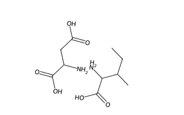 CCC(C)C(N)C(=O)O.NC(CC(=O)O)C(=O)O